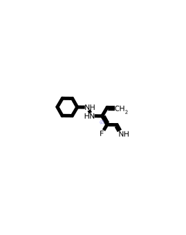 C=C/C(NNC1CCCCC1)=C(/F)C=N